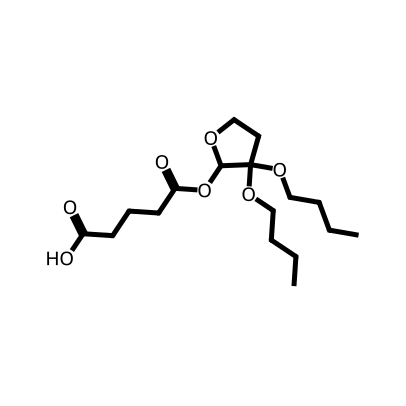 CCCCOC1(OCCCC)CCOC1OC(=O)CCCC(=O)O